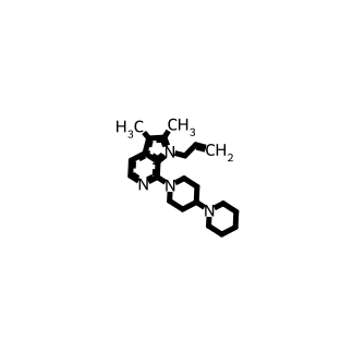 C=CCn1c(C)c(C)c2ccnc(N3CCC(N4CCCCC4)CC3)c21